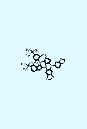 Cc1cc(C(C)(C)C)cc(C)c1N1c2cccc3c2B(c2cc4c(cc2N3c2ccc3c(c2)OCO3)OCO4)c2oc3ccc(C(C)(C)C)cc3c21